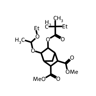 CCOC(C)OC1C2CC(C1OC(=O)C(C)(C)CC)C(C(=O)OC)C2C(=O)OC